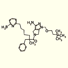 Bc1cccc(CCCCCC(C)(Cc2ccccc2)C(=O)N2Cc3c(N)nn(COCC[Si](C)(C)C)c3C2)n1